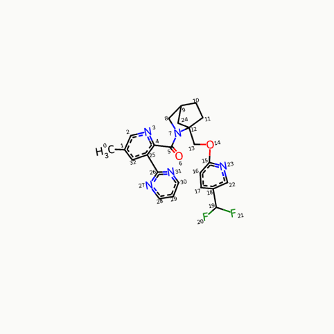 Cc1cnc(C(=O)N2CC3CCC2(COc2ccc(C(F)F)cn2)C3)c(-c2ncccn2)c1